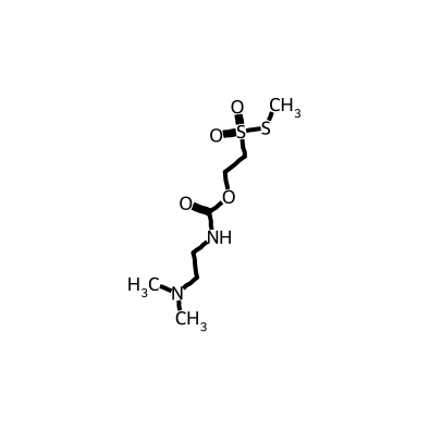 CSS(=O)(=O)CCOC(=O)NCCN(C)C